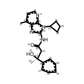 Cc1ccnc2c1nc(NC(=O)C[C@](C)(O)c1ccccc1)n2C1CCC1